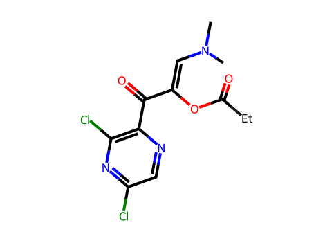 CCC(=O)O/C(=C\N(C)C)C(=O)c1ncc(Cl)nc1Cl